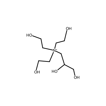 OCC[N+](CCO)(CCO)CC(O)CO